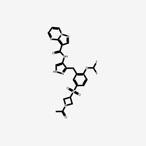 CC(=O)N1CC(S(=O)(=O)c2ccc(OC(F)F)c(Cc3n[nH]cc3NC(=O)c3cnn4cccnc34)c2)C1